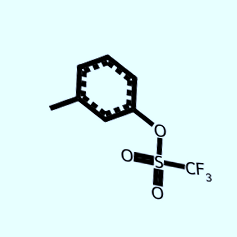 Cc1cccc(OS(=O)(=O)C(F)(F)F)c1